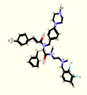 CC(=O)N1CCN(c2ccc(CN(C(=O)/C=C/c3ccc(C(F)(F)F)cc3)[C@@H](Cc3ccccc3)C(=O)N(C)CCN(C)Cc3ccc(C)c(F)c3F)cc2)CC1